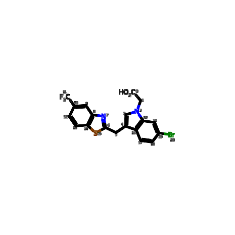 O=C(O)Cn1cc(Cc2nc3cc(C(F)(F)F)ccc3s2)c2ccc(Br)cc21